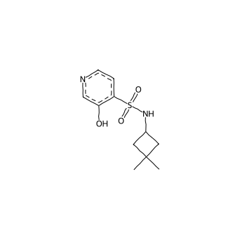 CC1(C)CC(NS(=O)(=O)c2ccncc2O)C1